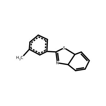 Cc1cccc(C2=NC3C=CC=CC3S2)c1